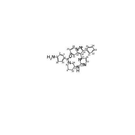 Nc1ccc(C(=O)N2CCC[C@H](Nc3nccc(-c4c(-c5ccccc5)nn5ccccc45)n3)C2)cc1